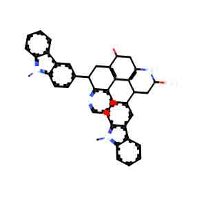 CCn1c2ccccc2c2cc(C3CC(O)NC4=C3C3=C(CC(c5ccc6c(c5)c5ccccc5n6CC)c5ncccc53)C(O)C4)ccc21